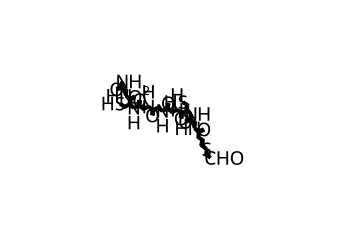 NC(=O)CNC(=O)C(CS)NC(=O)CNC(=O)CNC(=O)CNC(=O)C(CS)NC(=O)CNC(=O)CC=CSCC=O